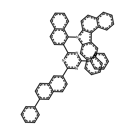 c1ccc(-c2ccc3cc(-c4nc(-c5ccccc5)nc(-c5ccc6ccccc6c5-n5c6cc7ccccc7cc6c6c7ccccc7ccc65)n4)ccc3c2)cc1